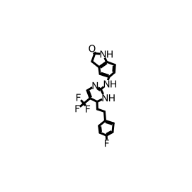 O=C1Cc2cc(NC3=NC=C(C(F)(F)F)C(CCc4ccc(F)cc4)N3)ccc2N1